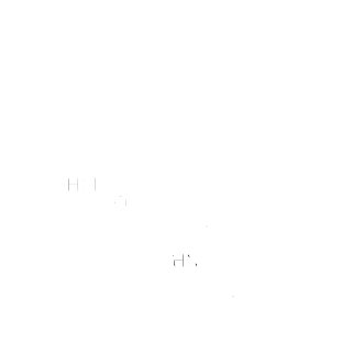 Cl.O=C(c1ccccc1)C12CCC(CC1)N2